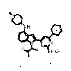 CC(=O)Nc1nc(-c2cc3c(NC4CCN(C)CC4)cccc3n2C(F)C(F)F)cc(C2CCCCC2)n1